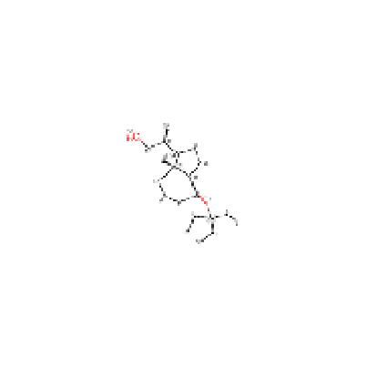 CC[Si](CC)(CC)O[C@H]1CCC[C@]2(C)C([C@H](C)CO)CCC12